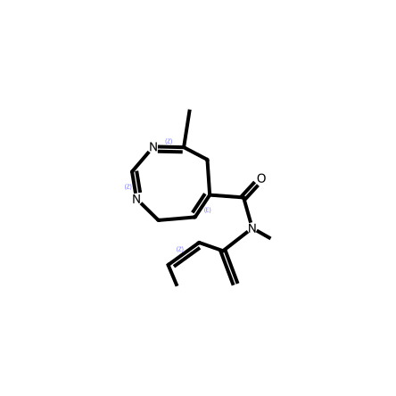 C=C(/C=C\C)N(C)C(=O)/C1=C/C/N=C\N=C(\C)C1